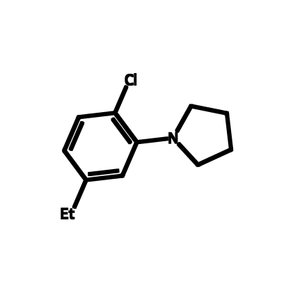 CCc1ccc(Cl)c(N2CCCC2)c1